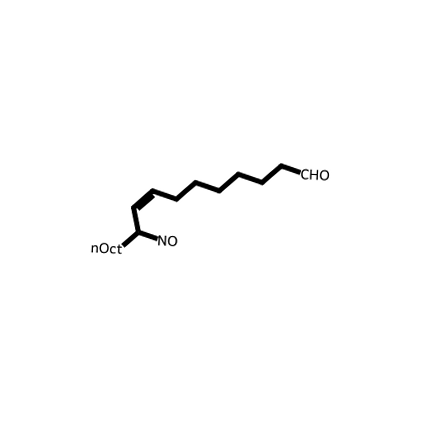 CCCCCCCCC(/C=C\CCCCCCC=O)N=O